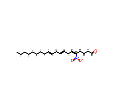 CCCCCCCC/C=C/C/C=C/C/C=C(/CCC[C]=O)[N+](=O)[O-]